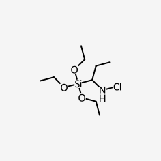 CCO[Si](OCC)(OCC)C(CC)NCl